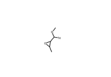 [2H]C(OC)C1OC1C